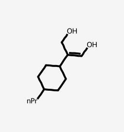 CCCC1CCC(C(=CO)CO)CC1